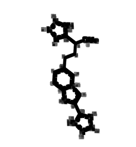 COC(CCc1ccc2nc(-c3nnn[nH]3)cn2c1)c1nnn[nH]1